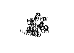 CNC(=O)[C@H](CCN(C(=O)CO)[C@@H](c1cc(-c2cc(F)ccc2F)cn1Cc1ccccc1)C(C)(C)C)NC(=O)[C@H](CC(N)=O)NC(=O)[C@H](C)NC(=O)CNC(=O)Cc1ccccc1